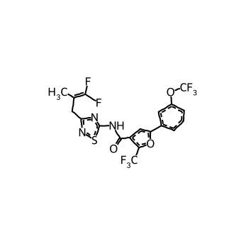 CC(Cc1nsc(NC(=O)c2cc(-c3cccc(OC(F)(F)F)c3)oc2C(F)(F)F)n1)=C(F)F